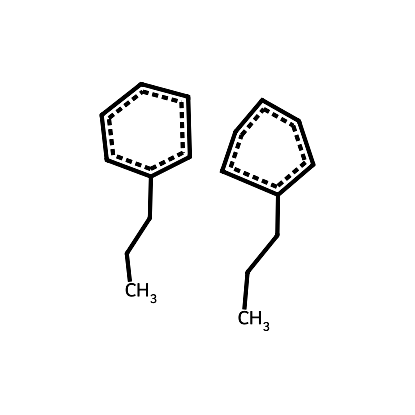 CCCc1ccccc1.CCCc1ccccc1